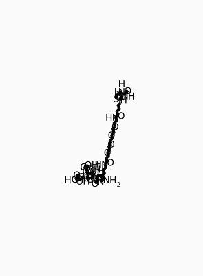 Nc1nc(=O)n([C@@H]2O[C@H](COP(=O)(O)O)C(OP(=O)(O)O)C2O)cc1CCCNC(=O)CCOCCOCCOCCOCCNC(=O)CCCC[C@@H]1SC[C@@H]2NC(=O)N[C@@H]21